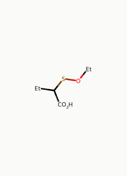 CCOSC(CC)C(=O)O